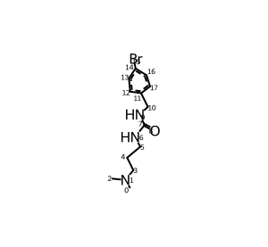 CN(C)CCCNC(=O)NCc1ccc(Br)cc1